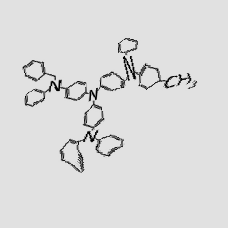 CC1C=CC(N(c2ccccc2)c2ccc(N(c3ccc(N(Cc4ccccc4)c4ccccc4)cc3)c3ccc(N(c4ccccc4)c4ccccc4)cc3)cc2)=CC1